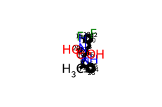 CC(CNCC(O)C(Cc1cc(F)cc(F)c1)NC(=O)O)c1ccccc1